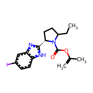 C=C(C)OC(=O)N1C(CC)CC[C@H]1c1nc2cc(I)ccc2[nH]1